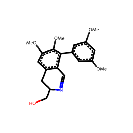 COc1cc(OC)cc(-c2c3c(cc(OC)c2OC)CC(CO)N=C3)c1